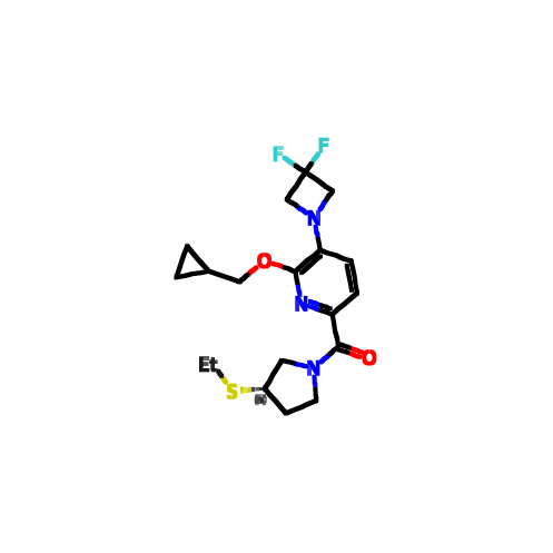 CCS[C@H]1CCN(C(=O)c2ccc(N3CC(F)(F)C3)c(OCC3CC3)n2)C1